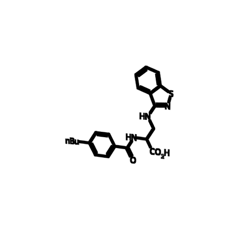 CCCCc1ccc(C(=O)NC(CNc2nsc3ccccc23)C(=O)O)cc1